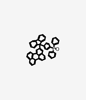 O=P(c1ccccc1)(c1ccccc1)c1ccc(C2(c3cc4cccc5c6cccc7cccc(c(c3)c45)c76)c3ccccc3-c3ccccc32)cc1